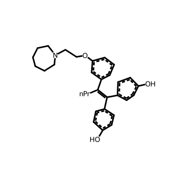 CCCC(=C(c1ccc(O)cc1)c1ccc(O)cc1)c1cccc(OCCN2CCCCCC2)c1